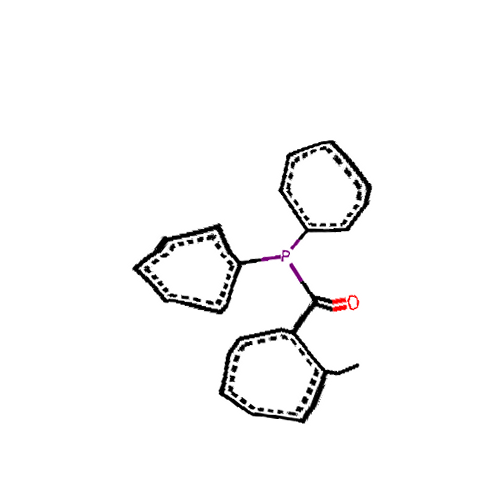 Cc1ccccc1C(=O)P(c1ccccc1)c1ccccc1